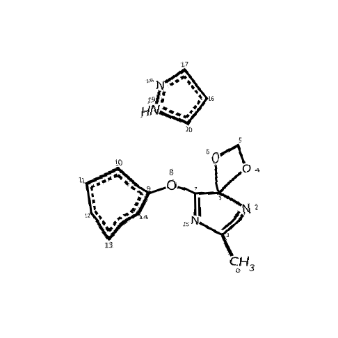 CC1=NC2(OCO2)C(Oc2ccccc2)=N1.c1cn[nH]c1